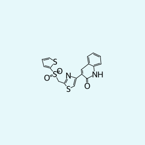 O=c1[nH]c2ccccc2cc1-c1csc(CS(=O)(=O)c2cccs2)n1